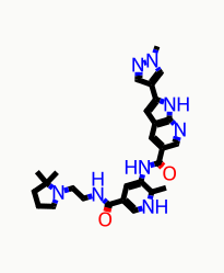 CC1NC=C(C(=O)NCCN2CCCC2(C)C)C=C1NC(=O)c1cnc2[nH]c(-c3cnn(C)c3)cc2c1